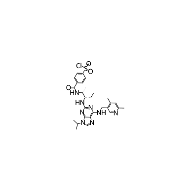 CC[C@H](Nc1nc(NCc2cnc(C)cc2C)c2ncn(C(C)C)c2n1)[C@@H](C)NC(=O)c1ccc(S(=O)(=O)Cl)cc1